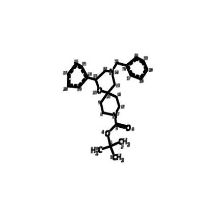 CC(C)(C)OC(=O)N1CCC2(CC1)CN(Cc1ccccc1)CC(c1ccccc1)O2